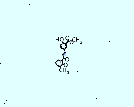 COC(=O)c1cc(/C=C/C(=O)N2CCC=C(C)C2=O)ccc1O